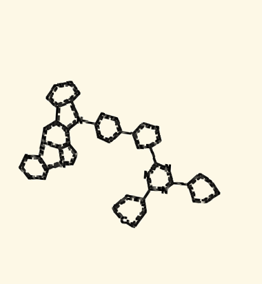 c1ccc(-c2nc(-c3ccccc3)nc(-c3cccc(-c4ccc(-n5c6ccccc6c6cc7c8ccccc8n8ccc(c65)c78)cc4)c3)n2)cc1